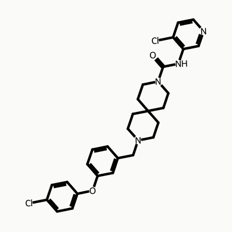 O=C(Nc1cnccc1Cl)N1CCC2(CCN(Cc3cccc(Oc4ccc(Cl)cc4)c3)CC2)CC1